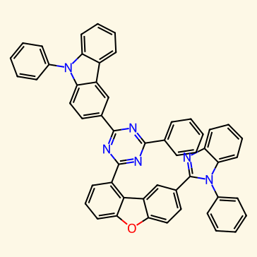 c1ccc(-c2nc(-c3ccc4c(c3)c3ccccc3n4-c3ccccc3)nc(-c3cccc4oc5ccc(-c6nc7ccccc7n6-c6ccccc6)cc5c34)n2)cc1